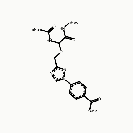 CCCCCCCCCC(=O)NC(OCc1nnn(-c2ccc(C(=O)OC)cc2)n1)C(=O)NCCCCCC